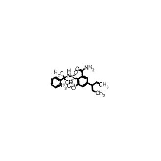 CCC(CC)c1cc(OC)c(S(=O)(=O)NC(C)(C)c2ccccc2)c(C(N)=O)c1